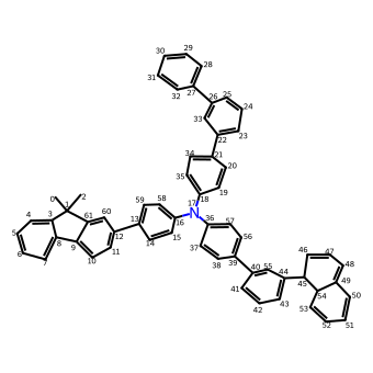 CC1(C)c2ccccc2-c2ccc(-c3ccc(N(c4ccc(-c5cccc(-c6ccccc6)c5)cc4)c4ccc(-c5cccc(C6C=CC=C7C=CC=CC76)c5)cc4)cc3)cc21